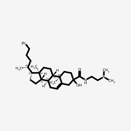 CC(C)CCC[C@@H](C)[C@H]1CC[C@H]2[C@@H]3CC=C4CC(O)(C(=O)NCCN(C)C)CC[C@]4(C)[C@H]3CC[C@]12C